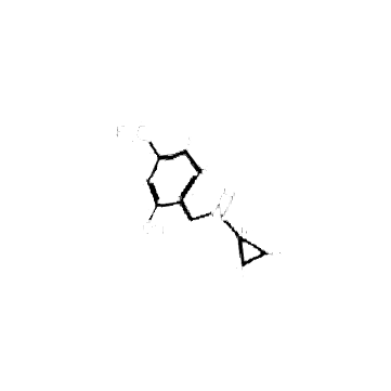 OC1=CC(C(F)(F)F)CC=C1CNC1CC1